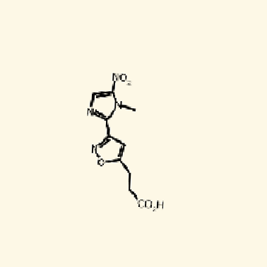 Cn1c([N+](=O)[O-])cnc1-c1cc(CCC(=O)O)on1